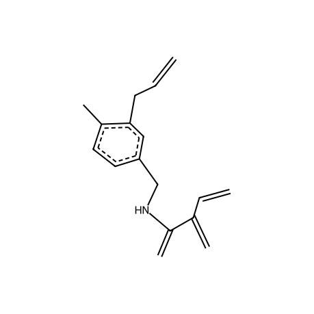 C=CCc1cc(CNC(=C)C(=C)C=C)ccc1C